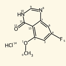 COc1cc(F)cc2nc[nH]c(=O)c12.Cl